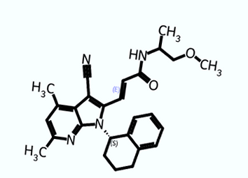 COCC(C)NC(=O)/C=C/c1c(C#N)c2c(C)cc(C)nc2n1[C@H]1CCCc2ccccc21